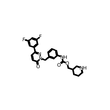 O=C(Nc1cccc(Cn2nc(-c3cc(F)cc(F)c3)ccc2=O)c1)OCC1CCCNC1